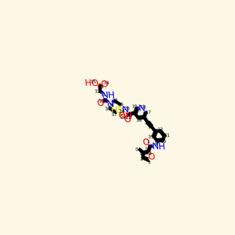 Cc1ccoc1C(=O)Nc1cccc(C#Cc2cncc(C(=O)N=[SH]3(O)CCN(C(=O)NCC(=O)O)CC3)c2)c1